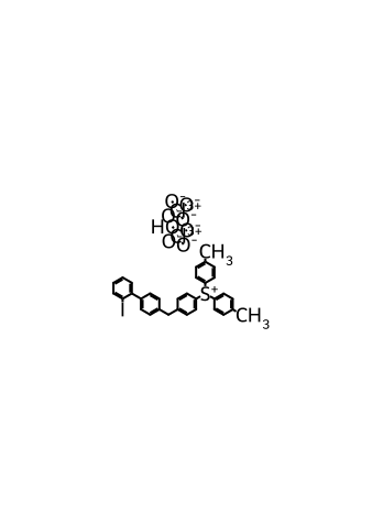 Cc1ccc([S+](c2ccc(C)cc2)c2ccc(Cc3ccc(-c4ccccc4I)cc3)cc2)cc1.[O-][Cl+3]([O-])([O-])O.[O-][Cl+3]([O-])([O-])[O-]